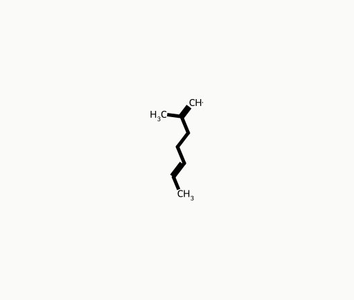 [CH]=C(C)CCC=CC